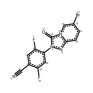 N#Cc1cc(F)c(-n2nc3ccc(Br)cn3c2=O)cc1F